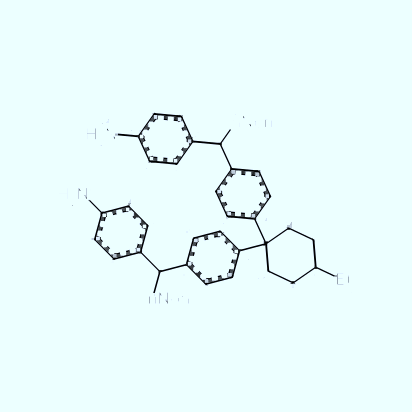 CCCCCCCCCC(c1ccc(N)cc1)c1ccc(C2(c3ccc(C(CCCCCCCCC)c4ccc(N)cc4)cc3)CCC(CC)CC2)cc1